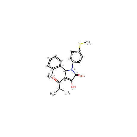 CSc1ccc(N2C(=O)C(O)=C(C(=O)C(C)C)C2c2ccccc2C)cc1